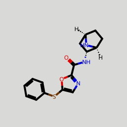 O=C(N[C@@H]1C[C@H]2CC[C@@H]1N2)c1ncc(Sc2ccccc2)o1